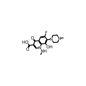 CNn1cc(C(=O)O)c(=O)c2cc(F)c(N3CCN(C)CC3)c(O)c21